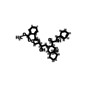 COC(=O)c1ccccc1C1=NC(C(O)CN2CC3CCCC[C@H]3CC2C(=O)NCc2ccccc2)CO1